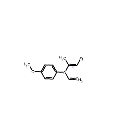 C=CN(/C(C)=C/CC)c1ccc(OC(F)(F)F)cc1